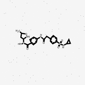 CCCN(C(=O)c1ccc(NC(=O)Cc2ccc(S(=O)(=O)NC3CC3)cc2)cc1)C1CC(C)ON1